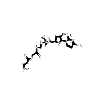 C=C1N=C(N)C=CN1C1OC(COP(=O)(O)OCOC(=O)COC(=O)CCNC)CC1F